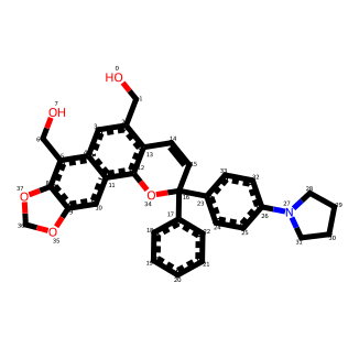 OCc1cc2c(CO)c3c(cc2c2c1C=CC(c1ccccc1)(c1ccc(N4CCCC4)cc1)O2)OCO3